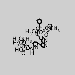 CN(CCCc1c2c(-c3cccc(N[C@H]4C[C@@H](C(=O)O)N(C(=O)OC(C)(C)C)C4)n3)ccnc2nn1COCC[Si](C)(C)C)C(=O)OCc1ccccc1